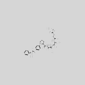 COC(=O)CCC(=O)N[C@@H](C)C(=O)N[C@@H](C)C(=O)NC(=O)[C@@H]1CCCN1c1ccc(OC(=O)Nc2ccccc2)cc1